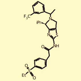 CCS(=O)(=O)c1ccc(CC(=O)Nc2nc3c(s2)CN(C(C)c2cccc(C(F)(F)F)c2)[C@@H]3C(C)C)cc1